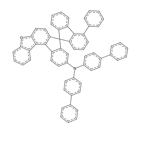 c1ccc(-c2ccc(N(c3ccc(-c4ccccc4)cc3)c3ccc4c(c3)C3(c5ccccc5-c5c(-c6ccccc6)cccc53)c3ccc5oc6ccccc6c5c3-4)cc2)cc1